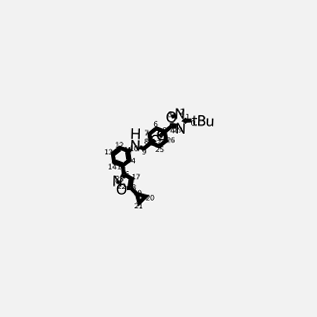 CC(C)(C)c1noc(C23CCC(CNc4cccc(-c5cc(C6CC6)on5)c4)(CC2)CC3)n1